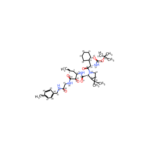 C=CCC(NC(=O)[C@@H]1C2C(CN1C(=O)[C@@H](NC(=O)OC(C)(C)C)C1CCCCC1)C2(C)C)C(=O)C(=O)NCC(=O)NCc1ccc(C)cc1